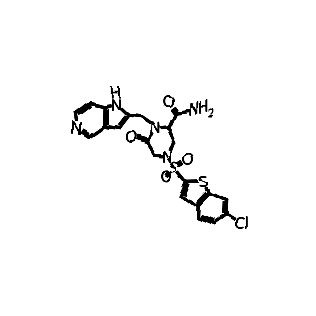 NC(=O)C1CN(S(=O)(=O)c2cc3ccc(Cl)cc3s2)CC(=O)N1Cc1cc2cnccc2[nH]1